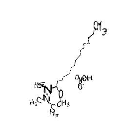 CCCCCCCCCCCCCCCC(OC)N(S)N(C)C.O=[N+]([O-])O